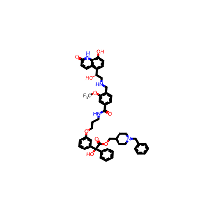 O=C(NCCCOc1cccc(C(O)(C(=O)OCC2CCN(Cc3ccccc3)CC2)c2ccccc2)c1)c1ccc(CNC[C@H](O)c2ccc(O)c3[nH]c(=O)ccc23)c(OC(F)(F)F)c1